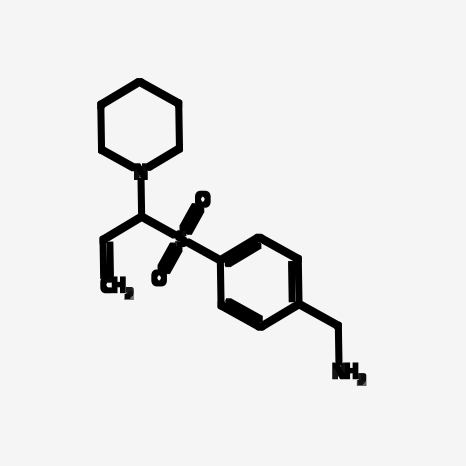 C=CC(N1CCCCC1)S(=O)(=O)c1ccc(CN)cc1